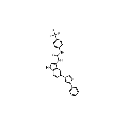 O=C(Nc1ccc(C(F)(F)F)cc1)Nc1c[nH]c2ccc(-c3cnn(-c4ccccc4)c3)cc12